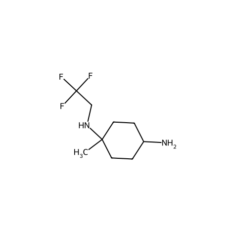 CC1(NCC(F)(F)F)CCC(N)CC1